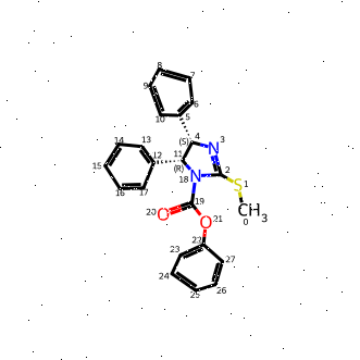 CSC1=N[C@@H](c2ccccc2)[C@@H](c2ccccc2)N1C(=O)Oc1ccccc1